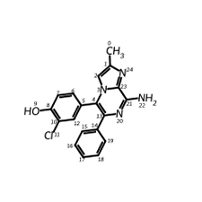 Cc1cn2c(-c3ccc(O)c(Cl)c3)c(-c3ccccc3)nc(N)c2n1